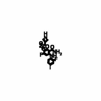 CS(=O)(=O)C(Oc1cc(F)cc(Nc2ccc(I)cc2F)c1C(N)=O)C1CNC1